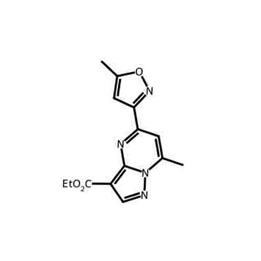 CCOC(=O)c1cnn2c(C)cc(-c3cc(C)on3)nc12